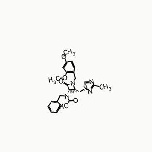 COc1ccc(CN2C(=O)[C@@H](N(Cc3ccccc3)C(=O)O)[C@H]2Cn2cnc(C)n2)c(OC)c1